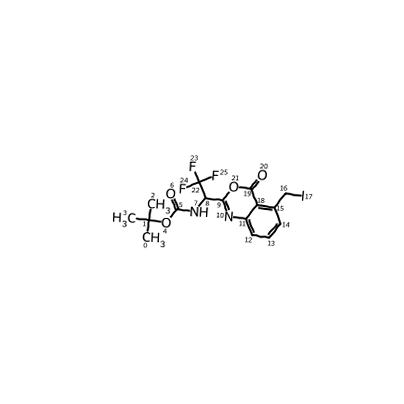 CC(C)(C)OC(=O)NC(c1nc2cccc(CI)c2c(=O)o1)C(F)(F)F